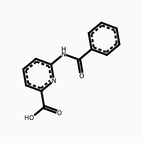 O=C(Nc1cccc(C(=O)O)n1)c1ccccc1